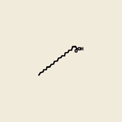 CCCCCC=CCCCCCCCCCCCC/C=C\C(=O)O